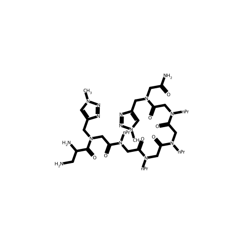 CCCN(CC(=O)N(CCC)CC(=O)N(CC(N)=O)Cc1cn(C)nn1)C(=O)CN(CCC)C(=O)CN(CCC)C(=O)CN(Cc1cn(C)nn1)C(=O)C(N)CN